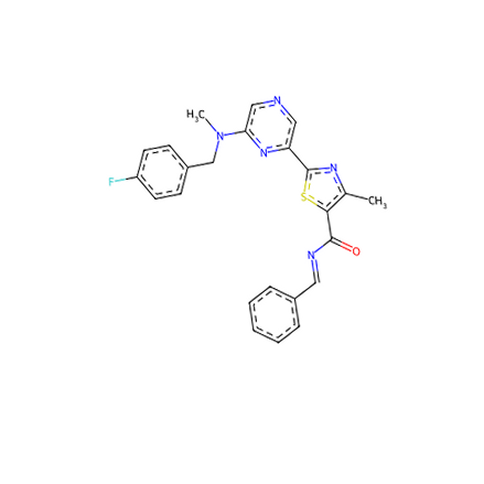 Cc1nc(-c2cncc(N(C)Cc3ccc(F)cc3)n2)sc1C(=O)/N=C/c1ccccc1